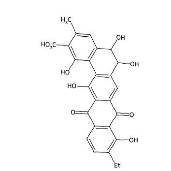 CCc1ccc2c(c1O)C(=O)c1cc3c(c(O)c1C2=O)-c1c(cc(C)c(C(=O)O)c1O)C(O)C3O